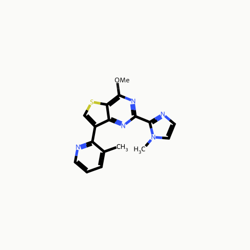 COc1nc(-c2nccn2C)nc2c(-c3ncccc3C)csc12